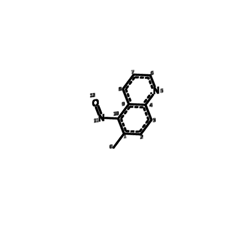 Cc1ccc2ncccc2c1N=O